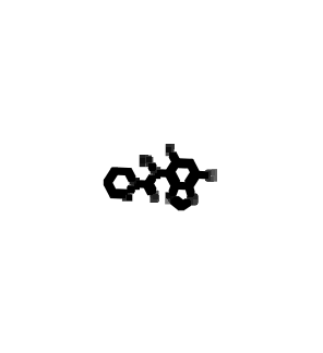 CCN(C(=S)N1CCCC=N1)c1c(F)cc(Cl)c2ocnc12